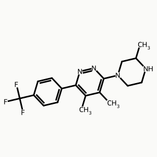 Cc1c(-c2ccc(C(F)(F)F)cc2)nnc(N2CCNC(C)C2)c1C